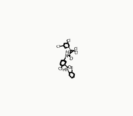 O=C(Nc1ccccc1F)c1cc(NC(=O)[C@@H]2[C@@H](c3cc(Cl)cc(Cl)c3)C2(Cl)Cl)ccc1Cl